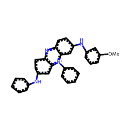 COc1cccc(Nc2ccc3nc4ccc(Nc5ccccc5)cc4[n+](-c4ccccc4)c3c2)c1